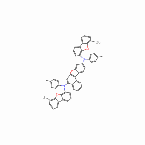 Cc1ccc(N(c2ccc3c(c2)oc2cc(N(c4ccc(C)cc4)c4cccc5c4oc4c(C(C)(C)C)cccc45)c4ccccc4c23)c2cccc3c2oc2c(C(C)(C)C)cccc23)cc1